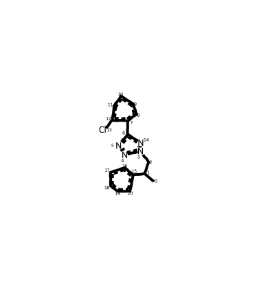 CC(Cn1nnc(-c2ccccc2Cl)n1)c1ccccc1